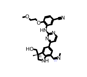 C/N=C\c1cc(-c2ccnc(Nc3cc(C#N)ccc3OCCOC)n2)cc2c1NC[C@]2(C)CO